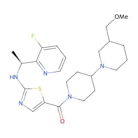 COCC1CCCN(C2CCN(C(=O)c3cnc(N[C@@H](C)c4ncccc4F)s3)CC2)C1